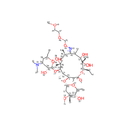 CC[C@H]1OC(=O)C(C)[C@@H](O[C@H]2C[C@@](C)(OC)[C@@H](O)C(C)O2)[C@H](C)[C@@H](OC2OC(C)CC(N(C)C)[C@H]2O)[C@](C)(O)C[C@@H](C)/C(=N\OCOCCOC)C(C)C(O)[C@]1(C)O